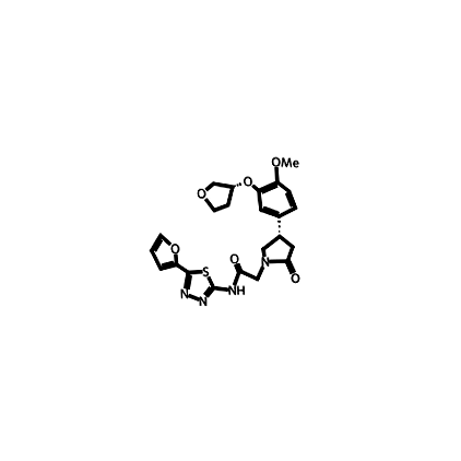 COc1ccc([C@@H]2CC(=O)N(CC(=O)Nc3nnc(-c4ccco4)s3)C2)cc1O[C@@H]1CCOC1